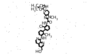 Cc1c(Nc2nccc3cc(CO)cnc23)cccc1-c1cccc(NC(=O)c2nc3c(n2C)CCN(C(O)OC(C)(C)C)C3)c1Cl